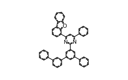 c1ccc(-c2cccc(-c3cc(-c4ccccc4)cc(-c4nc(-c5ccccc5)cc(-c5cccc6c5oc5ccccc56)n4)c3)c2)cc1